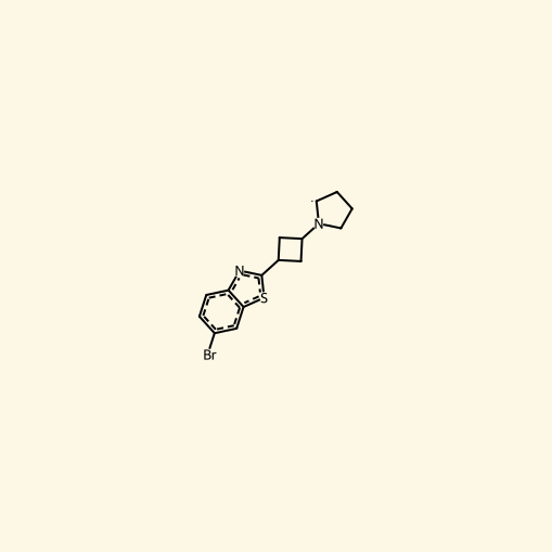 Brc1ccc2nc(C3CC(N4[CH]CCC4)C3)sc2c1